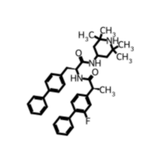 C[C@H](C(=O)N[C@@H](Cc1ccc(-c2ccccc2)cc1)C(=O)NC1CC(C)(C)NC(C)(C)C1)c1ccc(-c2ccccc2)c(F)c1